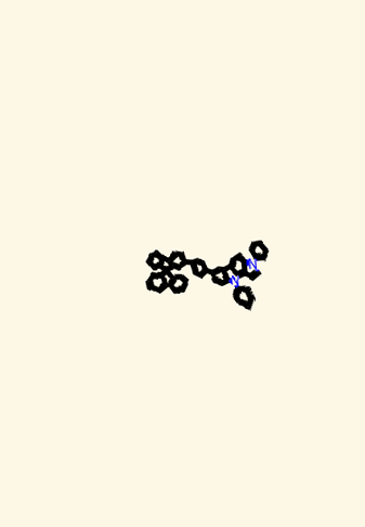 c1ccc(-n2ccc3c2ccc2c4cc(-c5ccc(-c6ccc7c(c6)C(c6ccccc6)(c6ccccc6)c6ccccc6-7)cc5)ccc4n(-c4ccccc4)c23)cc1